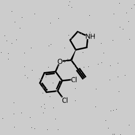 C#CC(Oc1cccc(Cl)c1Cl)[C@H]1CCNC1